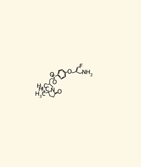 CC(CN1C(=O)CCC1(C)C)CS(=O)(=O)c1ccc(OCC(=CF)CN)cc1